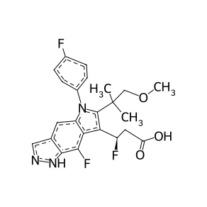 COCC(C)(C)c1c([C@H](F)CC(=O)O)c2c(F)c3[nH]ncc3cc2n1-c1ccc(F)cc1